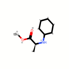 C[C@H](NC1CCCCC1)C(=O)OC(C)(C)C